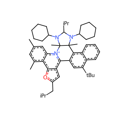 Cc1cc(C)c2c3oc(CC(C)C)cc3c3[n+](c2c1)C1(C)N(C2CCCCC2)C(C(C)C)N(C2CCCCC2)C1(C)c1c-3cc(C(C)(C)C)c2ccccc12